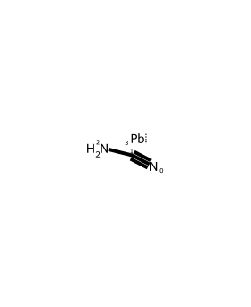 N#CN.[Pb]